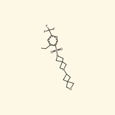 CCc1cc(C(F)(F)F)ncc1S(=O)(=O)N1CC2(CN(C3CC4(COC4)C3)C2)C1